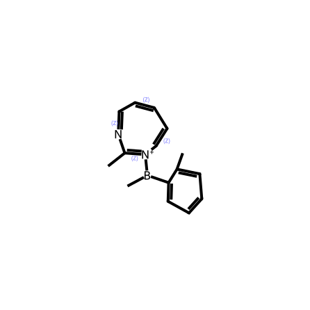 CB(c1ccccc1C)[N+]1=C(C)/N=C\C=C/C=C\1